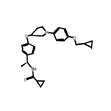 C[C@H](NC(=O)C1CC1)c1ccc(OC2CCN(c3ccc(OCC4CC4)cc3)C2)cc1